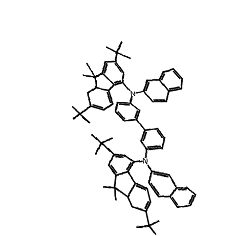 CC(C)(C)C1=CC=C2c3c(N(c4cccc(-c5cccc(N(c6ccc7ccccc7c6)c6cc(C(C)(C)C)cc7c6C6=CC=C(C(C)(C)C)CC6C7(C)C)c5)c4)c4ccc5ccccc5c4)cc(C(C)(C)C)cc3C(C)(C)C2C1